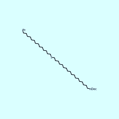 [CH2]CCCCCCCCCCCCCCCCCCCCCCCCCCCSCCCCCCCCCCCCCCC(C)C